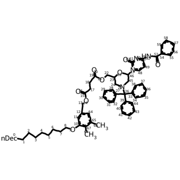 CCCCCCCCCCCCCCCCCCOc1cc(COC(=O)CCC(=O)OCC2CN(C(c3ccccc3)(c3ccccc3)c3ccccc3)CC(n3ccc(NC(=O)c4ccccc4)nc3=O)O2)cc(C)c1C